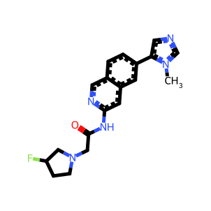 Cn1cncc1-c1ccc2cnc(NC(=O)CN3CCC(F)C3)cc2c1